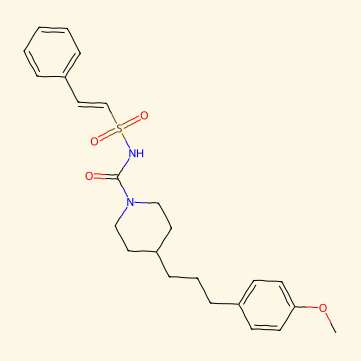 COc1ccc(CCCC2CCN(C(=O)NS(=O)(=O)C=Cc3ccccc3)CC2)cc1